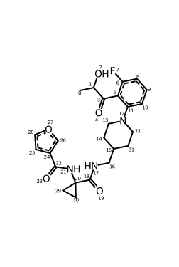 CC(O)C(=O)c1c(F)cccc1N1CCC(CNC(=O)C2(NC(=O)c3ccoc3)CC2)CC1